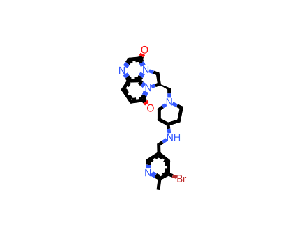 Cc1ncc(CNC2CCN(C[C@@H]3Cn4c(=O)cnc5ccc(=O)n3c54)CC2)cc1Br